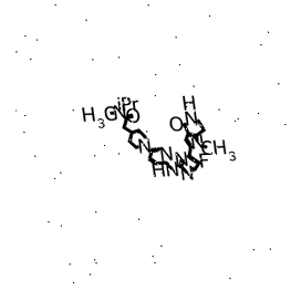 CC(C)N(C)C(=O)CC1CCN(c2ccc(Nc3ncc(F)c(-c4cc5c(n4C)CCNC5=O)n3)nc2)CC1